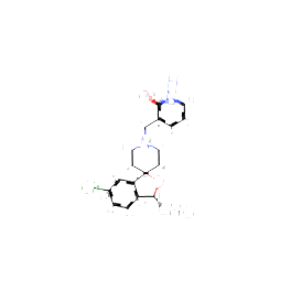 O=CC1OC2(CCN(Cc3ccc[nH]c3=O)CC2)c2cc(Cl)ccc21